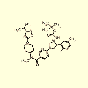 Cc1ccc(F)c(C2CN(c3ncc(C(=O)N(C)C4CCN(c5nc(C(C)C)no5)CC4)cn3)C[C@@H]2NC(=O)OC(C)(C)C)c1